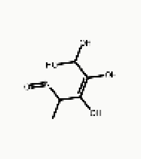 CC(N=O)/C(O)=C(/O)C(O)O